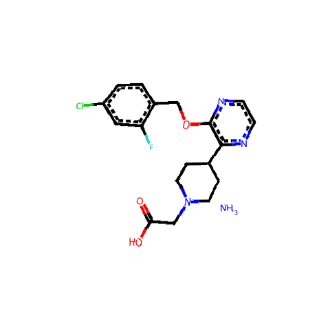 N.O=C(O)CN1CCC(c2nccnc2OCc2ccc(Cl)cc2F)CC1